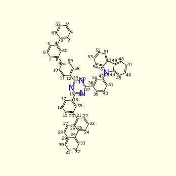 c1ccc(-c2cccc(-c3ccc(-c4nc(-c5cccc(-c6cccc7c6ccc6ccccc67)c5)nc(-c5cccc(-n6c7ccccc7c7ccccc76)c5)n4)cc3)c2)cc1